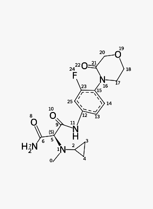 CN(C1CC1)[C@@H](C(N)=O)C(=O)Nc1ccc(N2CCOCC2=O)c(F)c1